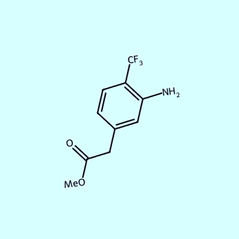 COC(=O)Cc1ccc(C(F)(F)F)c(N)c1